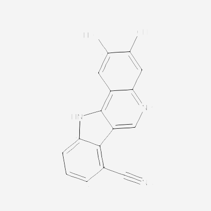 Cc1cc2ncc3c([nH]c4cccc(C#N)c43)c2cc1C